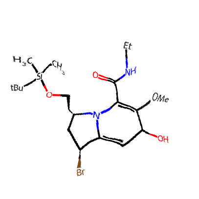 CCNC(=O)C1=C(OC)C(O)C=C2[C@@H](Br)C[C@@H](CO[Si](C)(C)C(C)(C)C)N21